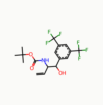 C=CC(NC(=O)OC(C)(C)C)C(O)c1cc(C(F)(F)F)cc(C(F)(F)F)c1